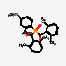 CCCCCc1ccc(P(=O)(C(=O)c2c(C)cccc2C)C(=O)c2c(C)cccc2C)c(CCCCC)c1